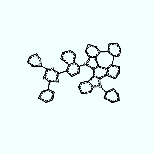 c1ccc(-c2nc(-c3ccccc3)nc(-c3ccc(-n4c5cccc6c5c5c7c(cccc7c7c(c8ccccc8n7-c7ccccc7)c54)-c4ccccc4-6)c4ccccc34)n2)cc1